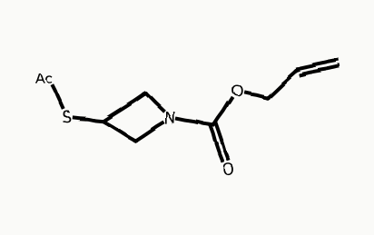 C=CCOC(=O)N1CC(SC(C)=O)C1